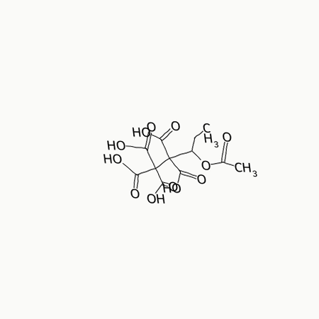 CCC(OC(C)=O)C(C(=O)O)(C(=O)O)C(C(=O)O)(C(=O)O)C(=O)O